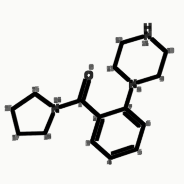 O=C(c1ccccc1N1CCNCC1)N1CCCC1